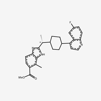 COC(=O)c1ccc2nc([C@H](C)C3CCC(c4ccnc5ccc(F)cc45)CC3)[nH]c2c1C